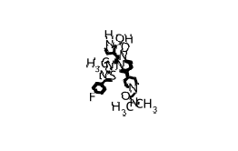 CN(C)C(=O)CN1CCC(c2ccc3nc(C4CCN[C@@H]4C(=O)O)c(N(C)c4nc(-c5ccc(F)cc5)cs4)n3c2)CC1